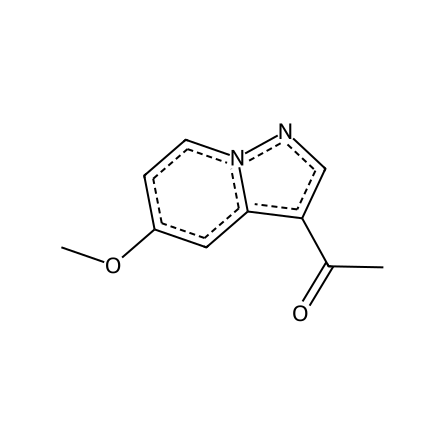 COc1ccn2ncc(C(C)=O)c2c1